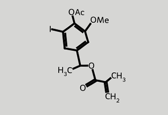 C=C(C)C(=O)OC(C)c1cc(I)c(OC(C)=O)c(OC)c1